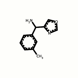 Cc1cccc(C(N)c2cocn2)c1